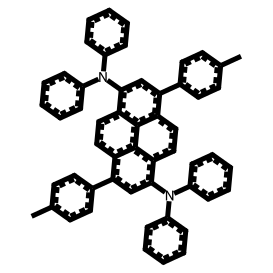 Cc1ccc(-c2cc(N(c3ccccc3)c3ccccc3)c3ccc4c(-c5ccc(C)cc5)cc(N(c5ccccc5)c5ccccc5)c5ccc2c3c45)cc1